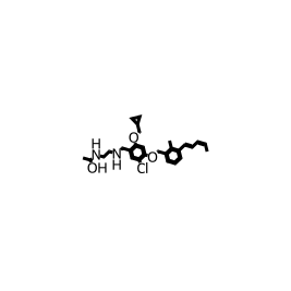 C/C=C\C=C\c1cccc(COc2cc(OCC3CC3)c(CNCCNC(C)O)cc2Cl)c1C